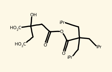 CC(C)CC(CC(C)C)(CC(C)C)C(=O)OC(=O)CC(O)(CC(=O)O)C(=O)O